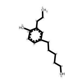 CCCc1cc(CCCCCO)ccc1O